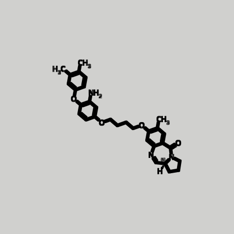 Cc1ccc(Oc2ccc(OCCCCOc3cc4c(cc3C)C(=O)N3CCC[C@H]3C=N4)cc2N)cc1C